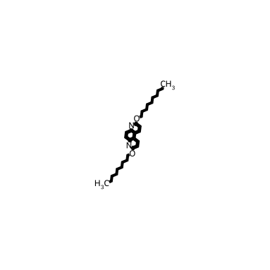 CCCCCCCCCCOc1ccc2c(ccc3nc(OCCCCCCCCC)ccc32)n1